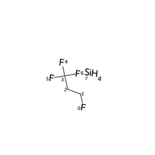 FCCC(F)(F)F.[SiH4]